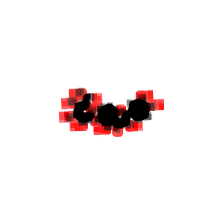 O=C1c2c(cc(O)c(OC3O[C@H](CO)[C@@H](O)[C@H](O)[C@H]3O)c2O)O[C@@H](c2ccc(O)c(O)c2)[C@@H]1O